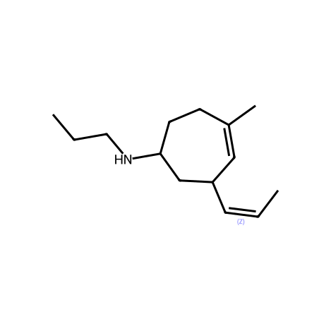 C/C=C\C1C=C(C)CCC(NCCC)C1